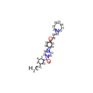 C=Cc1cccc(C(=O)N2CCN(c3ccc(OCCCN4CCCCCCC4)cc3)CC2)c1